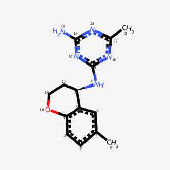 Cc1ccc2c(c1)[C@H](Nc1nc(C)nc(N)n1)CCO2